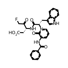 O=C(O)C[C@@H](NC(=O)[C@H](Cc1c[nH]c2ccccc12)n1cccc(NC(=O)c2ccccc2)c1=O)C(=O)CF